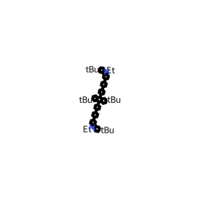 CCn1c2ccc(-c3ccc(-c4ccc(-c5c6ccc(C(C)(C)C)cc6c(-c6ccc(-c7ccc(-c8ccc9c(c8)c8cc(C(C)(C)C)ccc8n9CC)cc7)cc6)c6ccc(C(C)(C)C)cc56)cc4)cc3)cc2c2cc(C(C)(C)C)ccc21